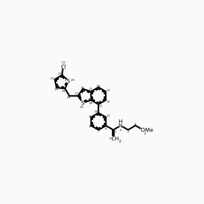 C=C(NCCOC)c1cccc(-c2cccc3cc(Cc4ccc(Cl)s4)sc23)c1